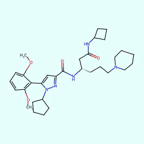 COc1cccc(OC)c1-c1cc(C(=O)N[C@@H](CCCN2CCCCC2)CC(=O)NC2CCC2)nn1C1CCCC1